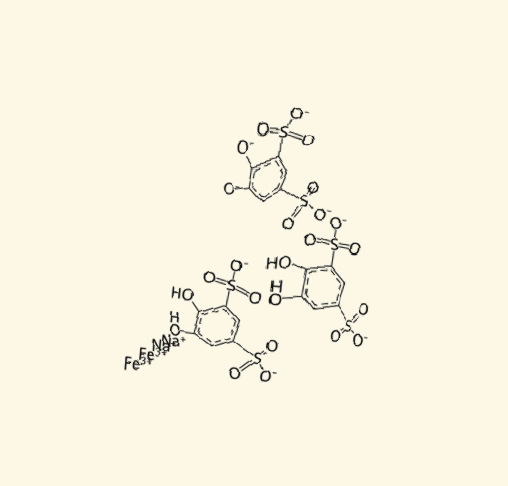 O=S(=O)([O-])c1cc(O)c(O)c(S(=O)(=O)[O-])c1.O=S(=O)([O-])c1cc(O)c(O)c(S(=O)(=O)[O-])c1.O=S(=O)([O-])c1cc([O-])c([O-])c(S(=O)(=O)[O-])c1.[Fe+3].[Fe+3].[Na+].[Na+]